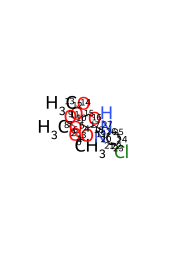 CC(=O)O[C@@H]1[C@H](OC(C)=O)[C@H](OC(C)=O)CO[C@H]1c1nc2cc(Cl)ccc2[nH]1